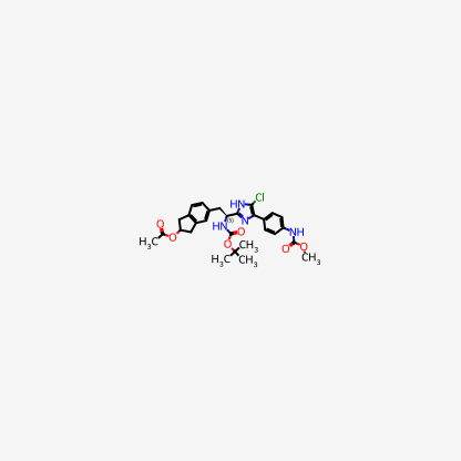 COC(=O)Nc1ccc(-c2nc([C@H](Cc3ccc4c(c3)CC(OC(C)=O)C4)NC(=O)OC(C)(C)C)[nH]c2Cl)cc1